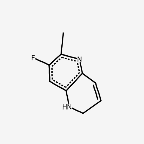 Cc1nc2c(cc1F)NCC=C2